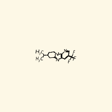 CC(C)C1CCn2c(nc3cc(C(F)(F)F)cnc32)C1